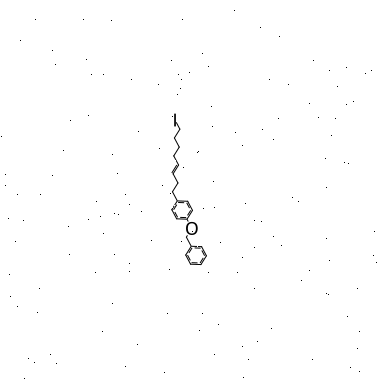 ICCCCC=CCCc1ccc(OCc2ccccc2)cc1